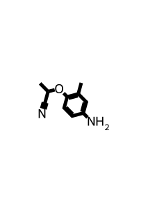 Cc1cc(N)ccc1OC(C)C#N